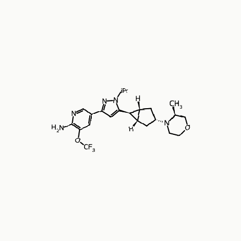 CC(C)n1nc(-c2cnc(N)c(OC(F)(F)F)c2)cc1[C@H]1[C@@H]2C[C@H](N3CCOC[C@@H]3C)C[C@@H]21